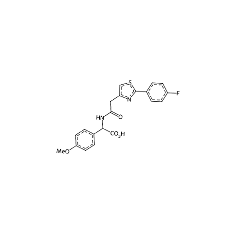 COc1ccc(C(NC(=O)Cc2csc(-c3ccc(F)cc3)n2)C(=O)O)cc1